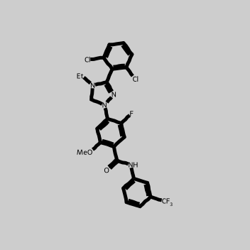 CCN1CN(c2cc(OC)c(C(=O)Nc3cccc(C(F)(F)F)c3)cc2F)N=C1c1c(Cl)cccc1Cl